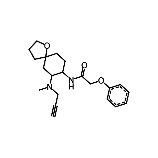 C#CCN(C)C1CC2(CCCO2)CCC1NC(=O)COc1ccccc1